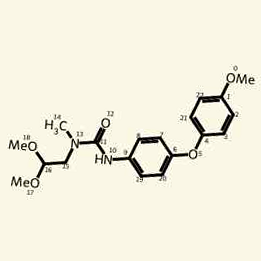 COc1ccc(Oc2ccc(NC(=O)N(C)CC(OC)OC)cc2)cc1